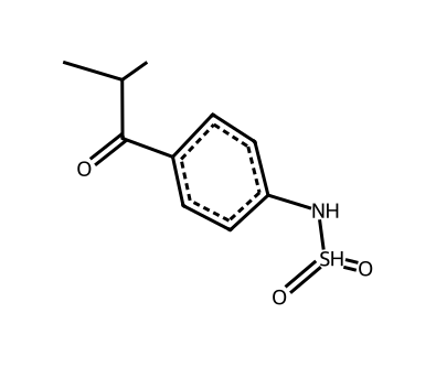 CC(C)C(=O)c1ccc(N[SH](=O)=O)cc1